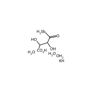 O.O.O.O=C(O)C(O)C(O)[C](=O)[SbH2].[KH]